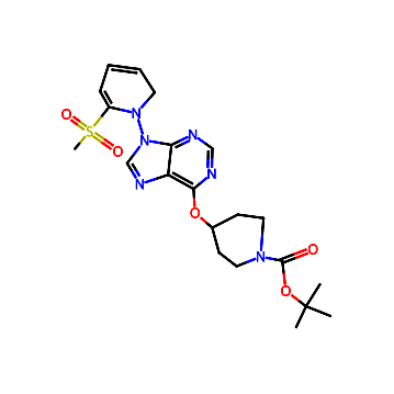 CC(C)(C)OC(=O)N1CCC(Oc2ncnc3c2ncn3N2CC=CC=C2S(C)(=O)=O)CC1